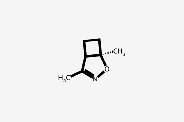 CC1=NO[C@]2(C)CCC12